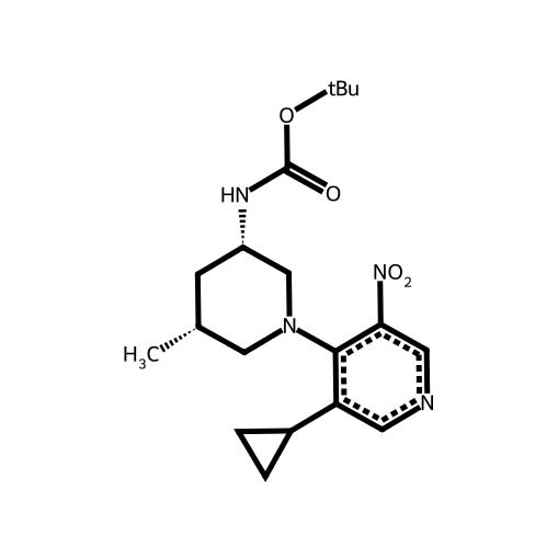 C[C@@H]1C[C@H](NC(=O)OC(C)(C)C)CN(c2c(C3CC3)cncc2[N+](=O)[O-])C1